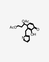 CC(=O)OCCC(OC(C)=O)C1C=CC(=O)C(O)=C1Cc1ccccn1